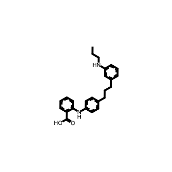 CCCNc1cccc(CCCc2ccc(Nc3ccccc3C(=O)O)cc2)c1